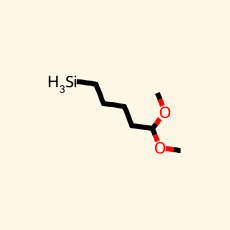 COC(CCCC[SiH3])OC